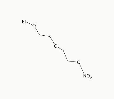 CCOCCOCCO[N+](=O)[O-]